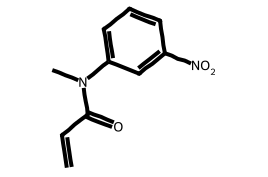 C=CC(=O)N(C)c1cccc([N+](=O)[O-])c1